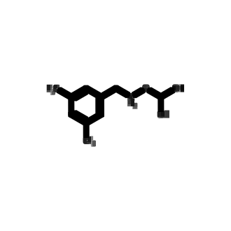 OC(O)O[SiH2]Cc1cc(C(F)(F)F)cc(C(F)(F)F)c1